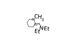 CCN(CC)C[C@H]1CCCC[C@@H]1C